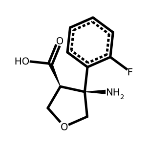 N[C@@]1(c2ccccc2F)COC[C@H]1C(=O)O